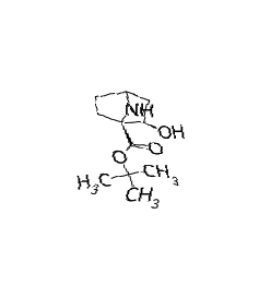 CC(C)(C)OC(=O)[C@]12CCC(C[C@H]1O)N2